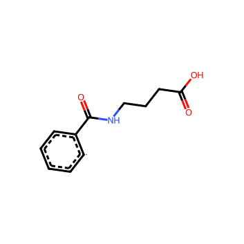 O=C(O)CCCNC(=O)c1[c]cccc1